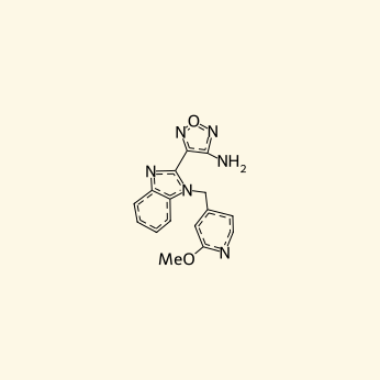 COc1cc(Cn2c(-c3nonc3N)nc3ccccc32)ccn1